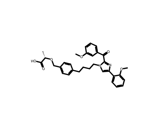 COc1cccc(C(=O)c2nc(-c3ccccc3OC)cn2CCCCc2ccc(CO[C@@H](C)C(=O)O)cc2)c1